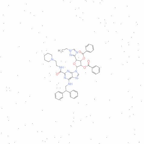 CCn1cnc(C2OC(n3cnc4c(NCC(c5ccccc5)c5ccccc5)nc(C(=O)NCCN5CCCCC5)nc43)C(OC(=O)c3ccccc3)C2OC(=O)c2ccccc2)n1